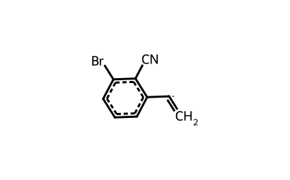 C=[C]c1cccc(Br)c1C#N